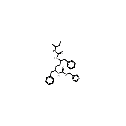 CCC(C)NC(=O)N[C@H](CC[C@H](Cc1ccccc1)NC(=O)OCc1cncs1)Cc1ccccc1